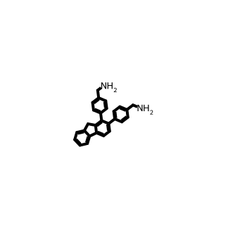 NCc1ccc(-c2ccc3c(c2-c2ccc(CN)cc2)Cc2ccccc2-3)cc1